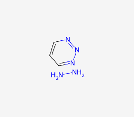 NN.c1cnnnc1